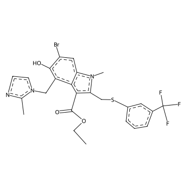 CCOC(=O)c1c(CSc2cccc(C(F)(F)F)c2)n(C)c2cc(Br)c(O)c(Cn3ccnc3C)c12